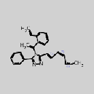 C=Cc1ccccc1C(=C)n1c(/C=C/C=C\C=C/C)nnc1-c1ccccc1